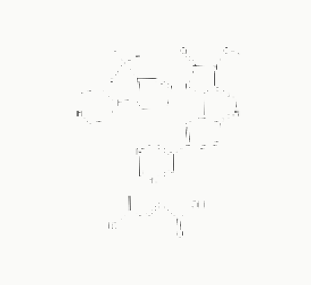 Cn1c(=O)n(-c2ccc(N3CCNCC3)c(C(F)(F)F)c2)c2c3cc(-c4cncnc4)ccc3ncc21.O=C(O)C=CC(=O)O